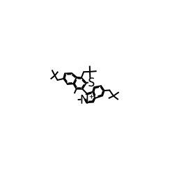 Cc1c2c(c(CC(C)(C)C)c3ccc(CC(C)(C)C)cc13)Sc1cc(CC(C)(C)C)cc3cc[n+](C)c-2c13